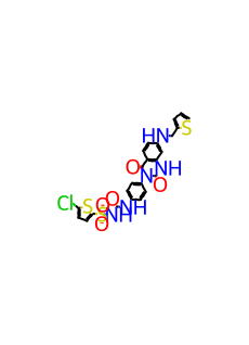 O=C(Nc1ccc(-n2c(=O)[nH]c3cc(NCc4cccs4)ccc3c2=O)cc1)NS(=O)(=O)c1ccc(Cl)s1